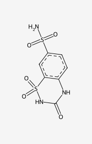 NS(=O)(=O)c1ccc2c(c1)S(=O)(=O)NC(=O)N2